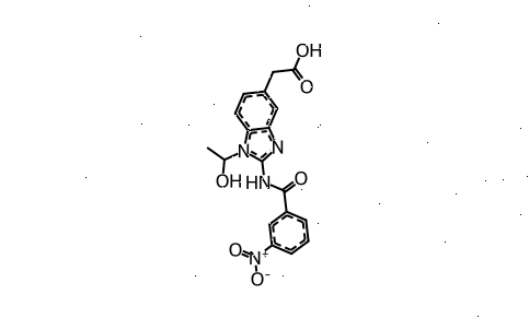 CC(O)n1c(NC(=O)c2cccc([N+](=O)[O-])c2)nc2cc(CC(=O)O)ccc21